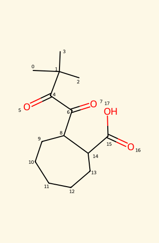 CC(C)(C)C(=O)C(=O)C1CCCCCC1C(=O)O